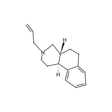 C=CCN1CC[C@@H]2c3ccccc3CC[C@H]2C1